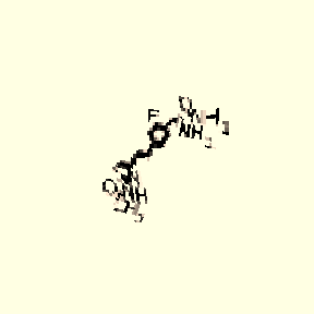 CC(=O)Nc1nc(CCc2ccc(CN(N)C(N)=O)c(F)c2)cs1